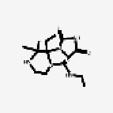 CCNC(=S)N1CCNC(C)(C)C1(CC)N1CC(=O)NC1=S